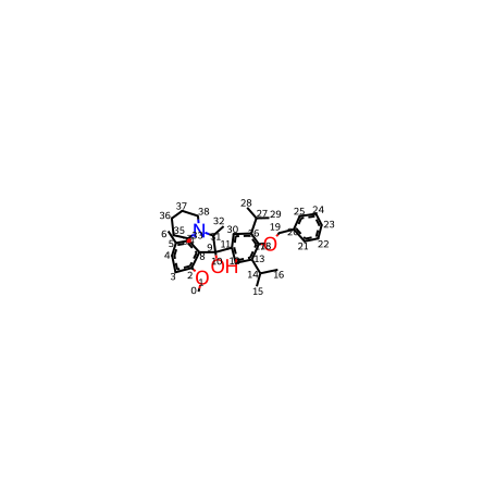 COc1ccc(C)cc1C(O)(c1cc(C(C)C)c(OCc2ccccc2)c(C(C)C)c1)C(C)N1CCCCC1